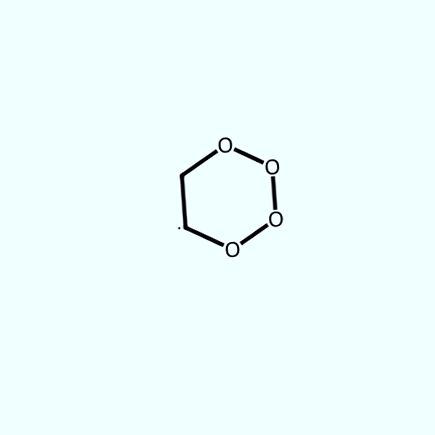 [CH]1COOOO1